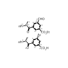 CCCN(C)C(=O)c1cc(C(C)=O)cc(C(=O)O)c1.CCCN(C)C(=O)c1cc(C=O)cc(C(=O)OCC)c1